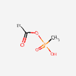 CCC(=O)OP(C)(=O)O